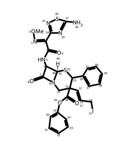 CON=C(C(=O)NC1C(=O)N2CC(C=CCI)(C(=O)Oc3ccccc3)C(c3ccccc3)S[C@H]12)c1nsc(N)n1